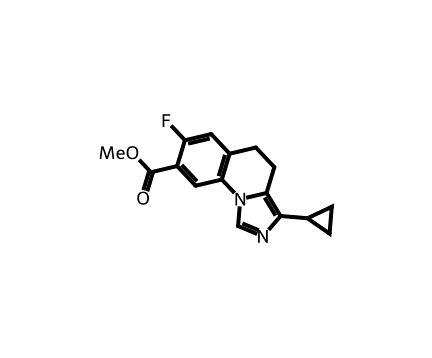 COC(=O)c1cc2c(cc1F)CCc1c(C3CC3)ncn1-2